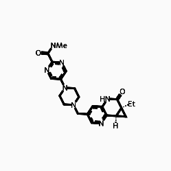 CC[C@]12C[C@H]1c1ncc(CN3CCN(c4cnc(C(=O)NC)nc4)CC3)cc1NC2=O